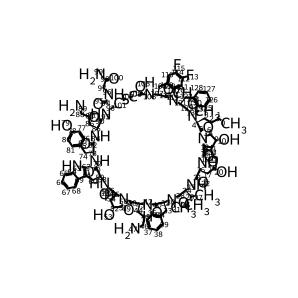 CCCC[C@H]1C(=O)N2C[C@H](O)C[C@@H]2C(=O)N[C@@H](CC(=O)O)C(=O)N[C@@H](C(C)C)C(=O)N(C)[C@@H](Cc2ccccc2)C(=O)N[C@@H](CCCN)C(=O)N2C[C@H](O)C[C@@H]2C(=O)N[C@@H](Cc2c[nH]c3ccccc23)C(=O)N[C@@H](Cc2ccc(O)cc2)C(=O)N[C@@H](CCCN)C(=O)N[C@H](C(=O)NCC(N)=O)CSCC(=O)N[C@@H](Cc2ccc(F)c(F)c2)C(=O)N(C)[C@@H](Cc2ccccc2)C(=O)N1C